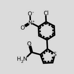 NC(=O)c1ccsc1-c1ccc(Cl)c([N+](=O)[O-])c1